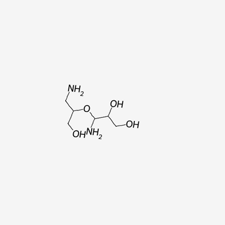 NCC(CO)OC(N)C(O)CO